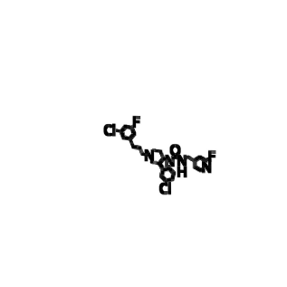 O=C(NCc1ccnc(F)c1)n1c2c(c3cc(Cl)ccc31)CN(CC=Cc1cc(F)cc(Cl)c1)CC2